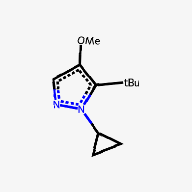 COc1cnn(C2CC2)c1C(C)(C)C